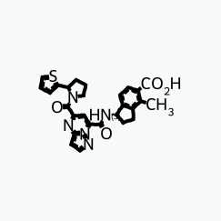 Cc1c(C(=O)O)ccc2c1CC[C@@H]2NC(=O)c1cc(C(=O)N2CCCC2c2cccs2)nc2ccnn12